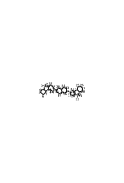 CC1(C)c2ccccc2-c2nc(-c3ccc4cc(-c5ccc6c(n5)-c5ccccc5C6(C)C)ccc4c3)ccc21